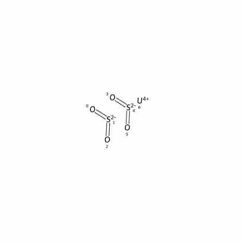 O=[S-2]=O.O=[S-2]=O.[U+4]